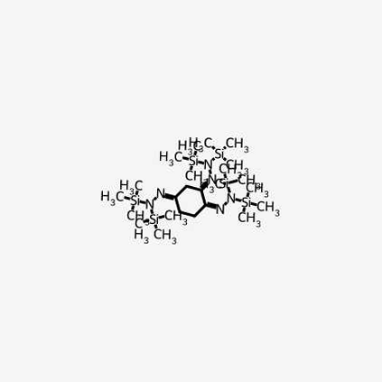 C[Si](C)(C)N(/N=C1/CC/C(=N\N([Si](C)(C)C)[Si](C)(C)C)C/C1=N\N([Si](C)(C)C)[Si](C)(C)C)[Si](C)(C)C